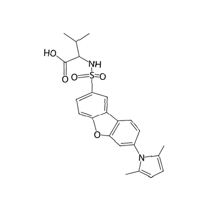 Cc1ccc(C)n1-c1ccc2c(c1)oc1ccc(S(=O)(=O)NC(C(=O)O)C(C)C)cc12